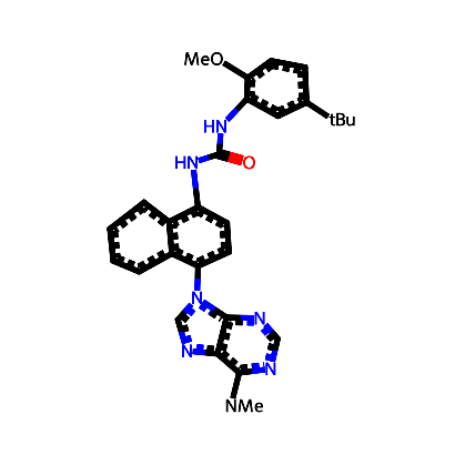 CNc1ncnc2c1ncn2-c1ccc(NC(=O)Nc2cc(C(C)(C)C)ccc2OC)c2ccccc12